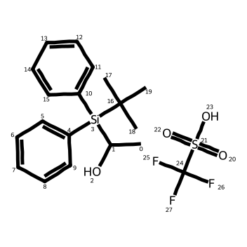 CC(O)[Si](c1ccccc1)(c1ccccc1)C(C)(C)C.O=S(=O)(O)C(F)(F)F